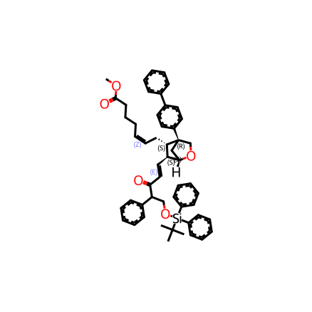 COC(=O)CCC/C=C\C[C@H]1[C@H](/C=C/C(=O)C(CO[Si](c2ccccc2)(c2ccccc2)C(C)(C)C)c2ccccc2)[C@@H]2C[C@@]1(c1ccc(-c3ccccc3)cc1)CO2